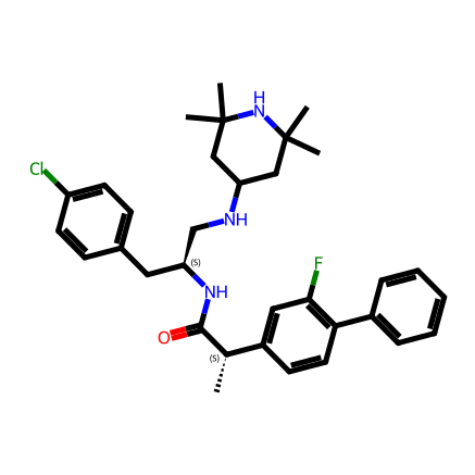 C[C@H](C(=O)N[C@H](CNC1CC(C)(C)NC(C)(C)C1)Cc1ccc(Cl)cc1)c1ccc(-c2ccccc2)c(F)c1